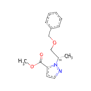 COC(=O)c1ccnn1[C@@H](C)COCc1ccccc1